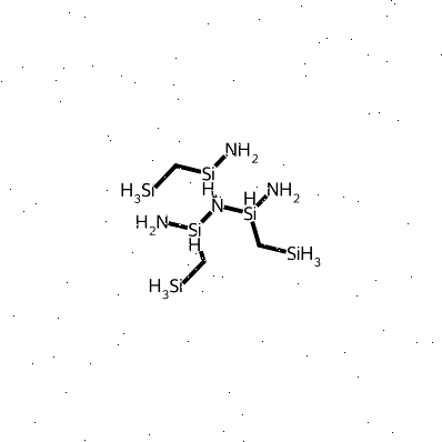 N[SiH](C[SiH3])N([SiH](N)C[SiH3])[SiH](N)C[SiH3]